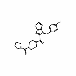 O=C(c1cc2sccc2n1Cc1ccc(Cl)cc1)N1CCC(C(=O)N2CCCC2)CC1